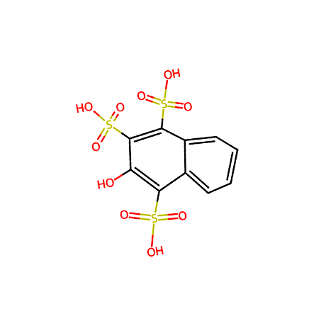 O=S(=O)(O)c1c(O)c(S(=O)(=O)O)c2ccccc2c1S(=O)(=O)O